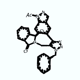 CC(=O)n1ncc2cc(-c3nnn(Cc4ccccc4)c3CN3C(=O)c4ccccc4C3=O)ccc21